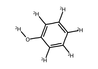 [2H]Oc1c([2H])c([2H])c([2H])c([2H])c1[2H]